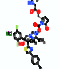 CNCC(=O)OC[C@@H]1CCC(=O)N1C(=O)O[n+]1cn(C[C@](O)(c2cc(F)ccc2F)[C@@H](C)c2nc(-c3ccc(C#N)cc3)cs2)nc1C.Cl.[I-]